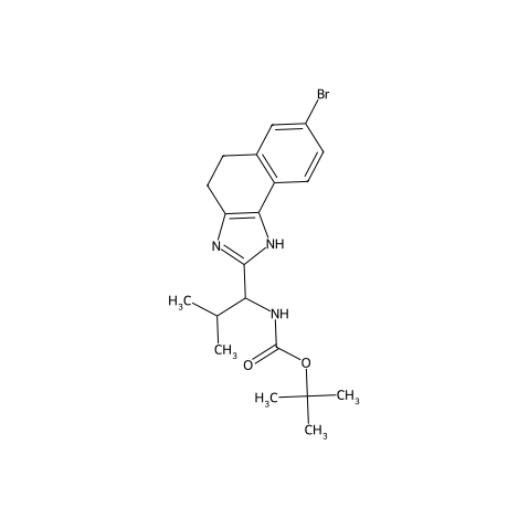 CC(C)C(NC(=O)OC(C)(C)C)c1nc2c([nH]1)-c1ccc(Br)cc1CC2